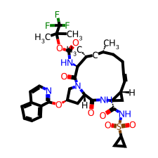 C[C@@H]1CC/C=C/[C@@H]2C[C@@]2(C(=O)NS(=O)(=O)C2CC2)NC(=O)[C@@H]2C[C@@H](Oc3nccc4ccccc34)CN2C(=O)[C@@H](NC(=O)OC(C)(C)C(F)(F)F)[C@H](C)C1